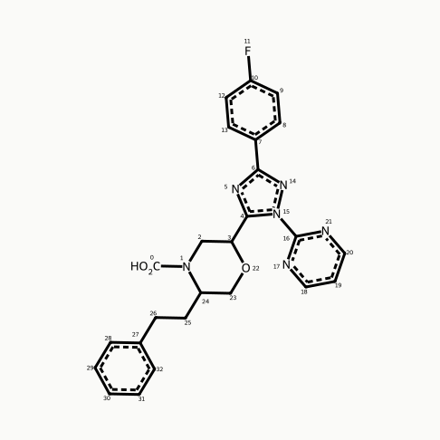 O=C(O)N1CC(c2nc(-c3ccc(F)cc3)nn2-c2ncccn2)OCC1CCc1ccccc1